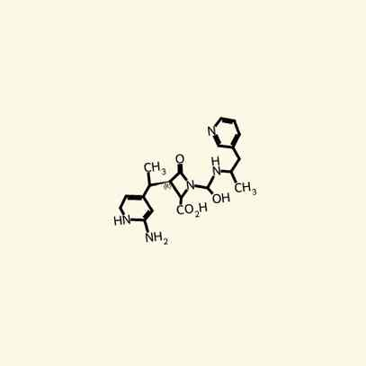 CC(Cc1cccnc1)NC(O)N1C(=O)[C@H](C(C)C2=CCNC(N)=C2)C1C(=O)O